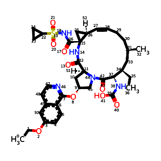 CCOc1ccc2c(O[C@@H]3C[C@H]4C(=O)N[C@]5(C(=O)NS(=O)(=O)C6CC6)C[C@H]5/C=C\CC[C@@H](C)C[C@@H](CC)[C@H](NC(=O)O)C(=O)N4C3)nccc2c1